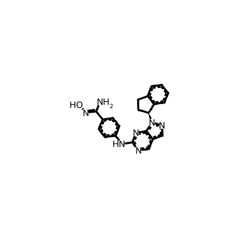 N/C(=N\O)c1ccc(Nc2ncc3cnn([C@H]4CCc5ccccc54)c3n2)cc1